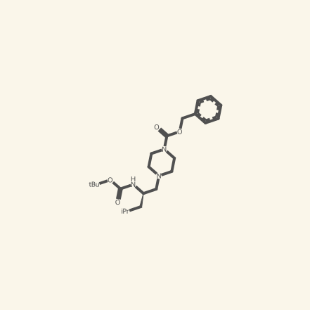 CC(C)C[C@H](CN1CCN(C(=O)OCc2ccccc2)CC1)NC(=O)OC(C)(C)C